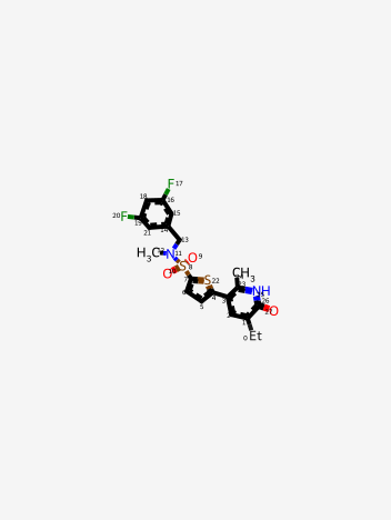 CCc1cc(-c2ccc(S(=O)(=O)N(C)Cc3cc(F)cc(F)c3)s2)c(C)[nH]c1=O